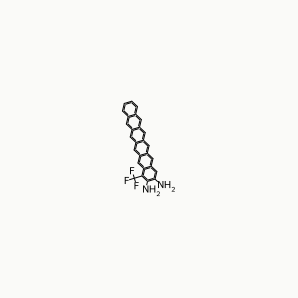 Nc1cc2cc3cc4cc5cc6ccccc6cc5cc4cc3cc2c(C(F)(F)F)c1N